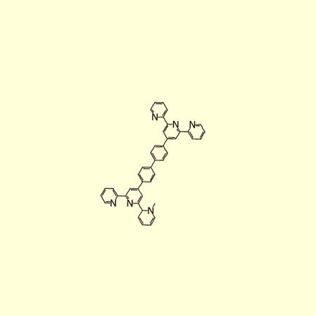 CN1C=CC=CC1c1cc(-c2ccc(-c3ccc(-c4cc(-c5ccccn5)nc(-c5ccccn5)c4)cc3)cc2)cc(-c2ccccn2)n1